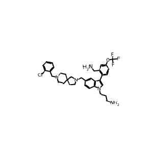 NCCCn1cc(-c2ccc(OC(F)(F)F)cc2CN)c2cc(CN3CCC4(CCN(Cc5ccccc5Cl)CC4)C3)ccc21